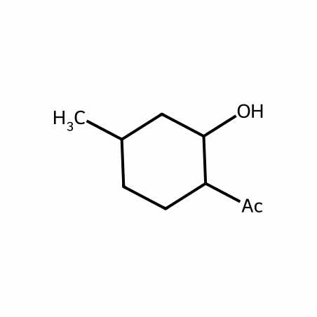 CC(=O)C1CCC(C)CC1O